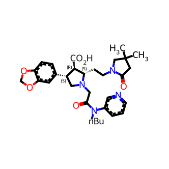 CCCCN(C(=O)CN1C[C@H](c2ccc3c(c2)OCO3)[C@@H](C(=O)O)[C@@H]1CCN1CC(C)(C)CC1=O)c1cccnc1